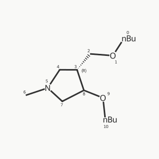 CCCCOC[C@H]1CN(C)CC1OCCCC